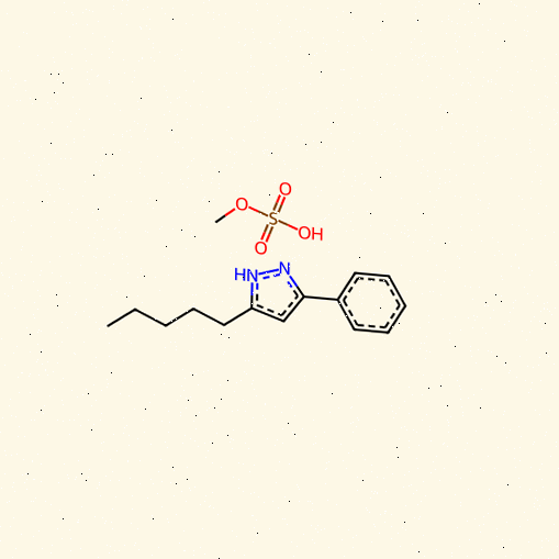 CCCCCc1cc(-c2ccccc2)n[nH]1.COS(=O)(=O)O